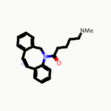 CNCCCCC(=O)N1Cc2ccccc2/C=C\c2ccccc21